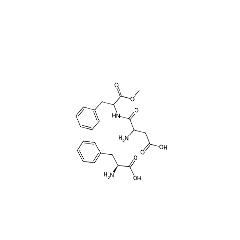 COC(=O)C(Cc1ccccc1)NC(=O)C(N)CC(=O)O.N[C@@H](Cc1ccccc1)C(=O)O